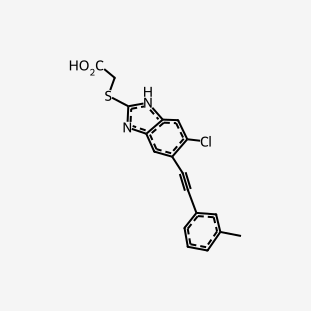 Cc1cccc(C#Cc2cc3nc(SCC(=O)O)[nH]c3cc2Cl)c1